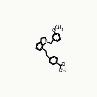 COc1cccc(CN2CCc3cccc(CCc4ccc(C(=O)O)cc4)c32)c1